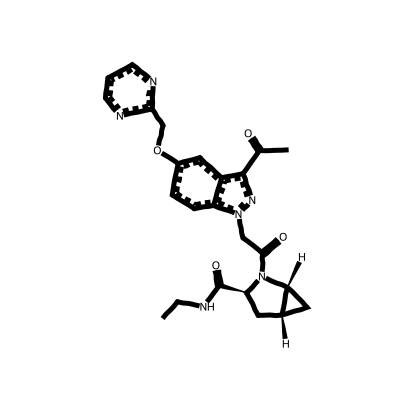 CCNC(=O)[C@@H]1C[C@H]2C[C@H]2N1C(=O)Cn1nc(C(C)=O)c2cc(OCc3ncccn3)ccc21